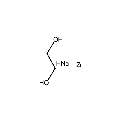 OCCO.[NaH].[Zr]